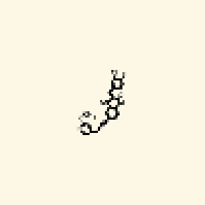 COc1cc(CC#Cc2ccc3c(c2)C(=O)/C(=C/c2ccc(F)c(Cl)c2)C(=O)N3)ccn1